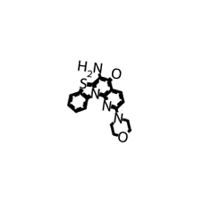 Nc1c(=O)c2ccc(N3CCOCC3)nc2n2c1sc1ccccc12